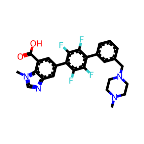 CN1CCN(Cc2cccc(-c3c(F)c(F)c(-c4cc(C(=O)O)c5c(c4)ncn5C)c(F)c3F)c2)CC1